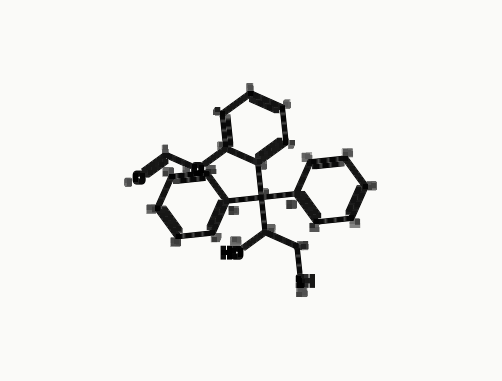 O=COc1ccccc1C(c1ccccc1)(c1ccccc1)C(O)CS